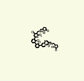 COc1nc(-c2cccc(-c3cccc(-c4ccn5c(=O)c(CNCC6CCC(=O)N6)cnc5c4)c3Cl)c2Cl)cc(Cl)c1CNCC1CCC(=O)N1